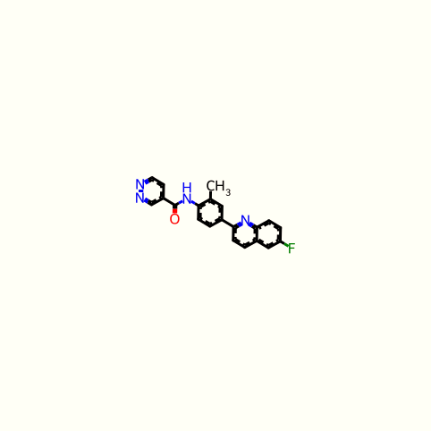 Cc1cc(-c2ccc3cc(F)ccc3n2)ccc1NC(=O)c1ccnnc1